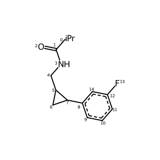 CC(C)C(=O)NCC1CC1c1cccc(F)c1